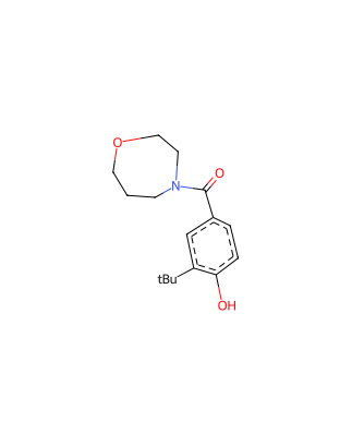 CC(C)(C)c1cc(C(=O)N2CCCOCC2)ccc1O